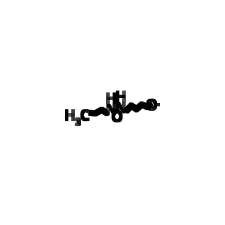 CCCCCNC(=O)NCCCCC[O]